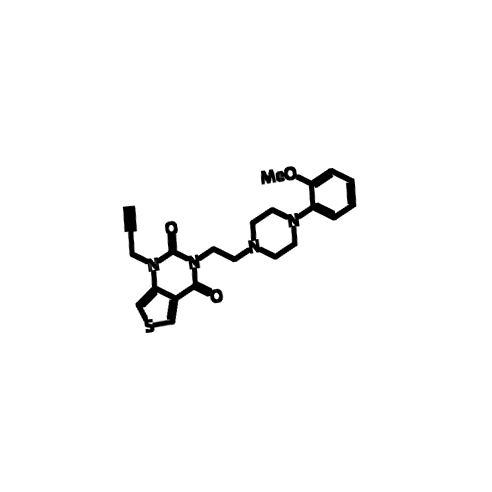 C#CCn1c(=O)n(CCN2CCN(c3ccccc3OC)CC2)c(=O)c2cscc21